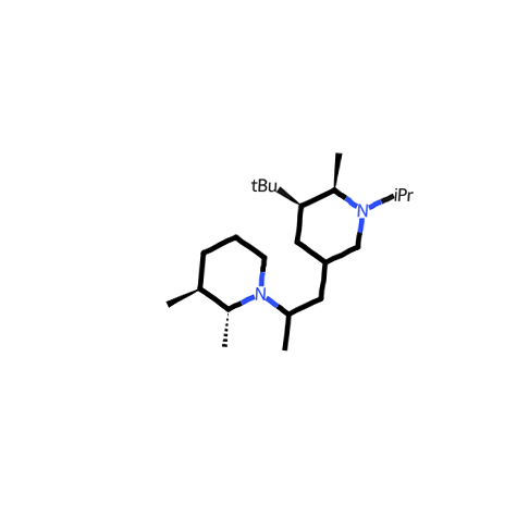 CC(C)N1CC(CC(C)N2CCC[C@H](C)[C@H]2C)C[C@@H](C(C)(C)C)[C@H]1C